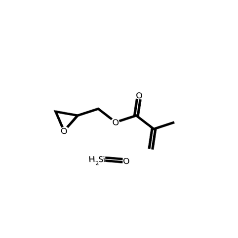 C=C(C)C(=O)OCC1CO1.O=[SiH2]